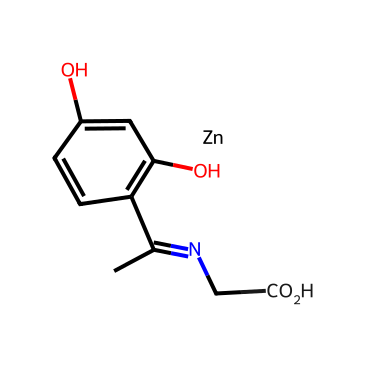 CC(=NCC(=O)O)c1ccc(O)cc1O.[Zn]